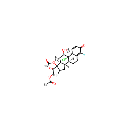 CCCC(=O)O[C@]1(C(=O)COC(=O)CC)C(C)C[C@H]2[C@@H]3CCC4=C(F)C(=O)C=C[C@]4(C)[C@@]3(Cl)C(O)C[C@@]21C